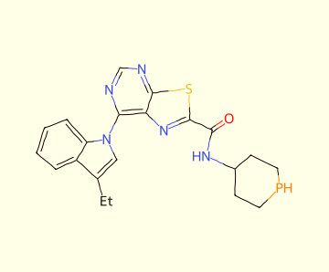 CCc1cn(-c2ncnc3sc(C(=O)NC4CCPCC4)nc23)c2ccccc12